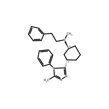 Cc1nnc([C@H]2CCC[C@H](N(C)CCc3ccccc3)C2)n1-c1ccccc1